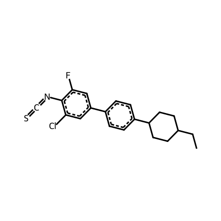 CCC1CCC(c2ccc(-c3cc(F)c(N=C=S)c(Cl)c3)cc2)CC1